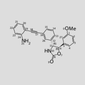 COc1cccc([C@H]2OC(=O)N[C@@H]2c2cccc(C#Cc3ccccc3N)c2)c1